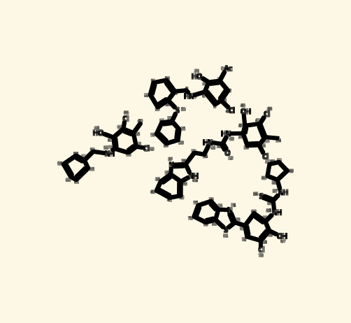 CC(=O)c1cc(Cl)cc(NCc2ccccc2Sc2ccccc2)c1O.Cc1c(Cl)cc(NC(=O)NCCc2nc3ccccc3[nH]2)c(O)c1Cl.Cc1c(Cl)cc(NCc2ccccc2)c(O)c1Cl.Oc1c(Cl)cc(-c2nc3ccccc3s2)cc1NC(=S)NC1CCCC1